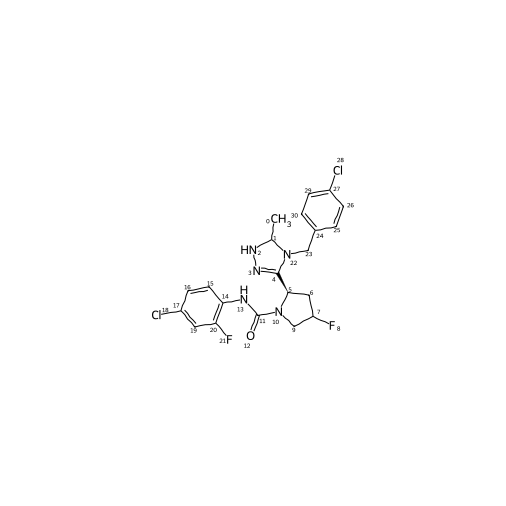 CC1NN=C([C@H]2CC(F)CN2C(=O)Nc2ccc(Cl)cc2F)N1Cc1ccc(Cl)cc1